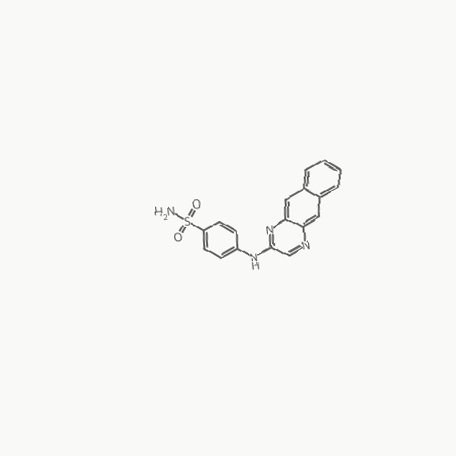 NS(=O)(=O)c1ccc(Nc2cnc3cc4ccccc4cc3n2)cc1